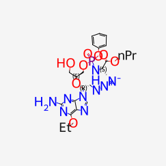 CCCOC(=O)[C@H](C)NP(=O)(OC[C@H](CO)O[C@H](CN=[N+]=[N-])n1cnc2c(OCC)nc(N)nc21)Oc1ccccc1